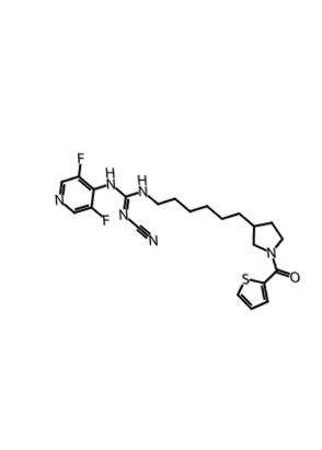 N#CN=C(NCCCCCCC1CCN(C(=O)c2cccs2)C1)Nc1c(F)cncc1F